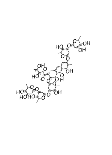 CO[C@H](C(=O)[C@@H](O)[C@@H](C)O)[C@@H]1Cc2cc3cc(O[C@H]4C[C@@H](O[C@H]5C[C@@H](O)[C@H](O)C(C)O5)[C@H](O)C(C)O4)c(C)c(O)c3c(O)c2C(=O)[C@H]1O[C@H]1C[C@@H](O[C@H]2C[C@@H](O[C@H]3C[C@@H](O)[C@H](O)C(C)O3)[C@@H](O)C(C)O2)[C@H](O)C(C)O1